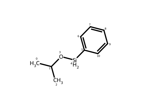 CC(C)O[SiH2]c1ccccc1